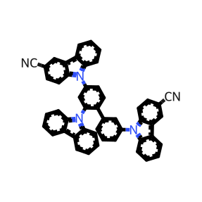 N#Cc1ccc2c(c1)c1ccccc1n2-c1cccc(-c2ccc(-n3c4ccccc4c4cc(C#N)ccc43)cc2-n2c3ccccc3c3ccccc32)c1